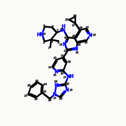 CC1(C)CNCCC1Nc1nc(-c2ccnc(Nc3ncn(Cc4ccccc4)n3)c2)nc2cncc(C3CC3)c12